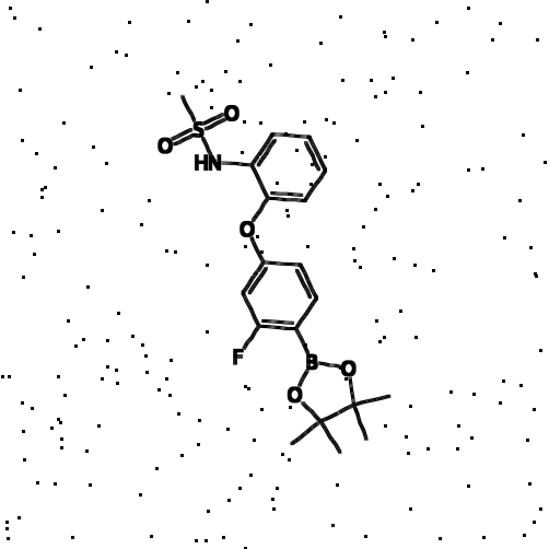 CC1(C)OB(c2ccc(Oc3ccccc3NS(C)(=O)=O)cc2F)OC1(C)C